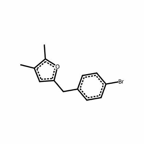 Cc1cc(Cc2ccc(Br)cc2)oc1C